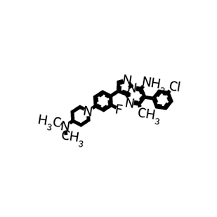 Cc1nc2c(-c3ccc(N4CCC(N(C)C)CC4)cc3F)cnn2c(N)c1-c1cccc(Cl)c1